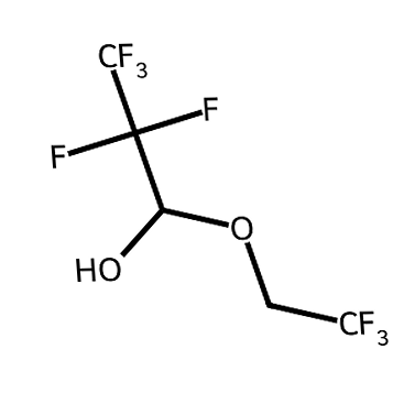 OC(OCC(F)(F)F)C(F)(F)C(F)(F)F